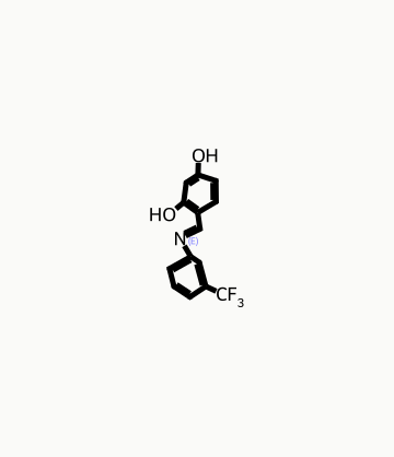 Oc1ccc(/C=N/c2cccc(C(F)(F)F)c2)c(O)c1